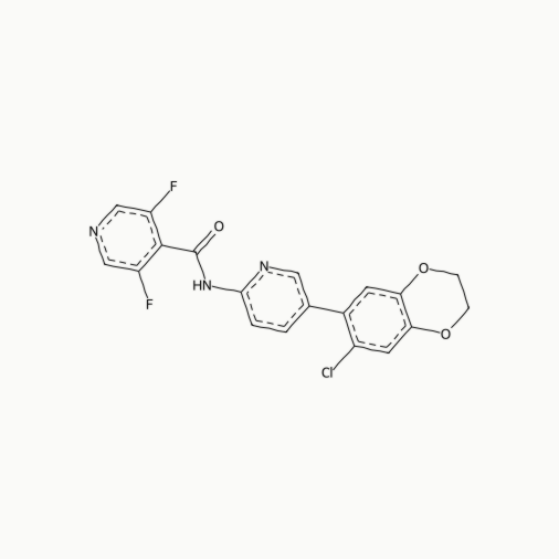 O=C(Nc1ccc(-c2cc3c(cc2Cl)OCCO3)cn1)c1c(F)cncc1F